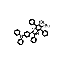 CC(C)(C)c1c(C(C)(C)C)c(-c2ccccc2)c2nc(-c3ccc(N(c4ccccc4)c4ccccc4)cc3)c(-c3ccccc3)nc2c1-c1ccccc1